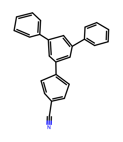 N#Cc1ccc(-c2cc(-c3ccccc3)cc(-c3ccccc3)c2)cc1